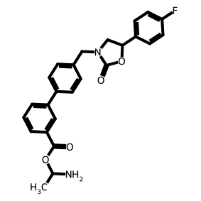 CC(N)OC(=O)c1cccc(-c2ccc(CN3CC(c4ccc(F)cc4)OC3=O)cc2)c1